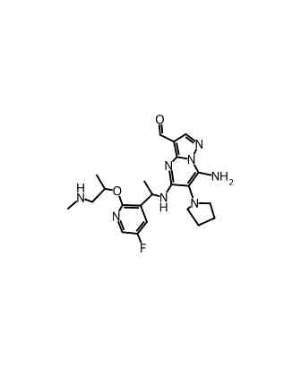 CNCC(C)Oc1ncc(F)cc1C(C)Nc1nc2c(C=O)cnn2c(N)c1N1CCCC1